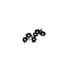 c1ccc2c(c1)sc1c(-n3c4ccccc4c4cc5c(ccc6sc7ccccc7c65)cc43)cccc12